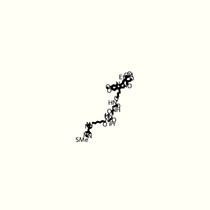 CC[C@@]1(O)C(=O)OCc2c1cc1n(c2=O)Cc2c-1nc1cc3c(cc1c2CCCOCNC(=O)CNC(=O)CNC(=O)C(NC(=O)CCCCCn1cc(-c2cnc(SC)nc2)nn1)C(C)C)OCO3